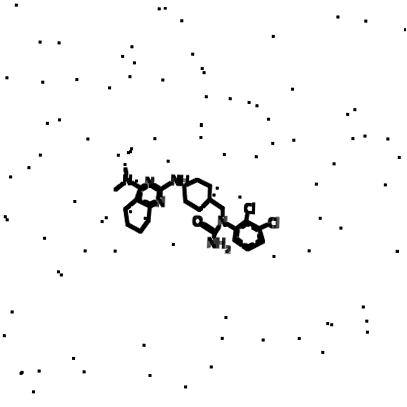 CN(C)c1nc(NC2CCC(CN(C(N)=O)c3cccc(Cl)c3Cl)CC2)nc2c1CCCC2